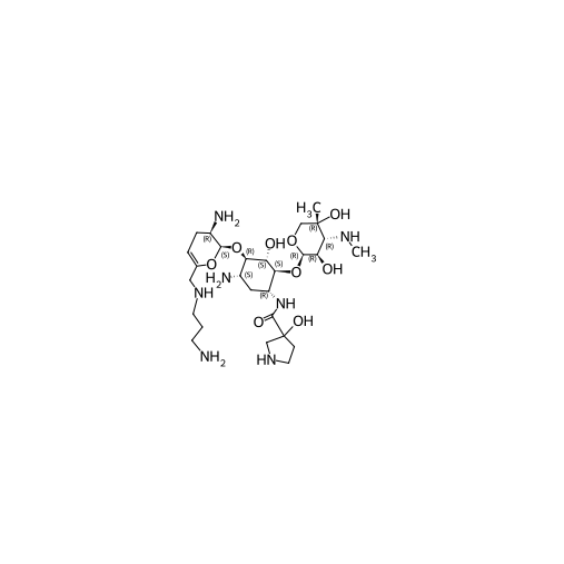 CN[C@@H]1[C@@H](O)[C@@H](O[C@@H]2[C@@H](O)[C@H](O[C@H]3OC(CNCCCN)=CC[C@H]3N)[C@@H](N)C[C@H]2NC(=O)C2(O)CCNC2)OC[C@]1(C)O